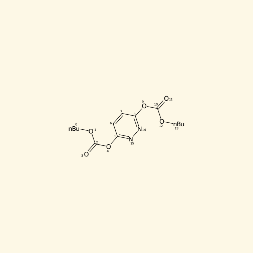 CCCCOC(=O)Oc1ccc(OC(=O)OCCCC)nn1